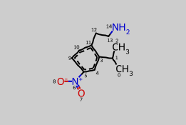 CC(C)c1cc([N+](=O)[O-])ccc1CCN